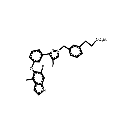 CCOC(=O)CCc1cccc(Cn2cc(F)c(-c3cccc(Oc4c(F)cc5[nH]ccc5c4C)c3)n2)c1